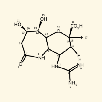 N=C(N)NC1C2NC(=O)C[C@@H](O)[C@@H](O)C2O[C@@](F)(C(=O)O)C1F